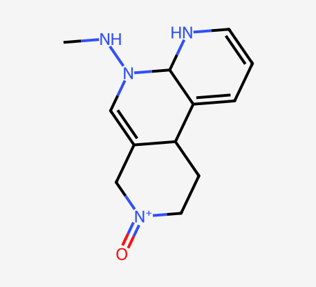 CNN1C=C2C[N+](=O)CCC2C2=CC=CNC21